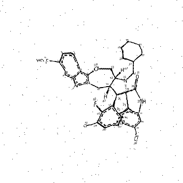 O=C(O)c1ccc2c3n(nc2c1)C[C@@H]1[C@H](CO3)N(CC2CCCCC2)[C@@]2(C(=O)Nc3cc(Cl)ccc32)[C@H]1c1cccc(Cl)c1F